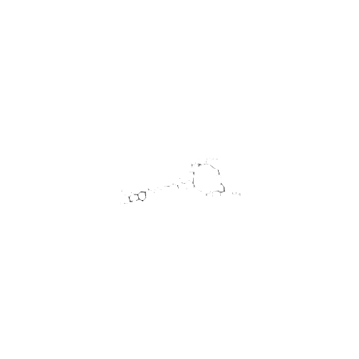 COc1cc2cc(c1Cl)N(C)C(=O)CC[C@]1(C)OC1(C[C@H](C(C)=O)N(C)C(=O)CCCCCNC(=O)c1ccc3nc(CBr)c(CBr)nc3c1)[C@H](C)[C@@H]1C[C@@](O)(NC(=O)O1)[C@H](OC)/C=C/C=C(\C)C2